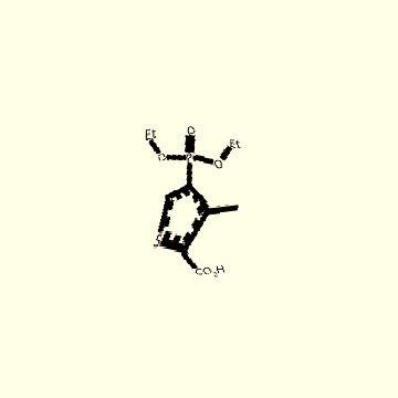 CCOP(=O)(OCC)c1csc(C(=O)O)c1C